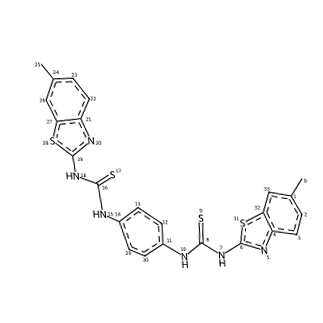 Cc1ccc2nc(NC(=S)Nc3ccc(NC(=S)Nc4nc5ccc(C)cc5s4)cc3)sc2c1